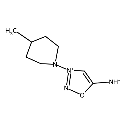 CC1CCN([n+]2cc([NH-])on2)CC1